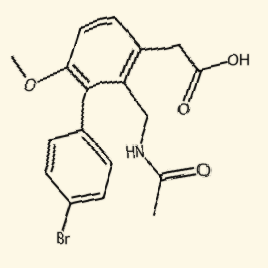 COc1ccc(CC(=O)O)c(CNC(C)=O)c1-c1ccc(Br)cc1